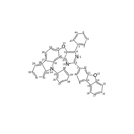 c1ccc(-c2nc(-c3ccc4c(c3)oc3ccccc34)nc3c2oc2ccc4c5ccccc5n(-c5ccccc5)c4c23)cc1